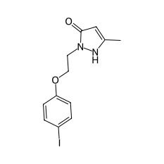 Cc1cc(=O)n(CCOc2ccc(I)cc2)[nH]1